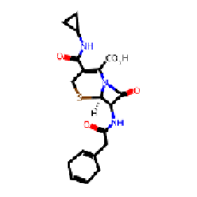 O=C(CC1=CCC=CC1)NC1C(=O)N2C(C(=O)O)=C(C(=O)NC3CC3)CS[C@H]12